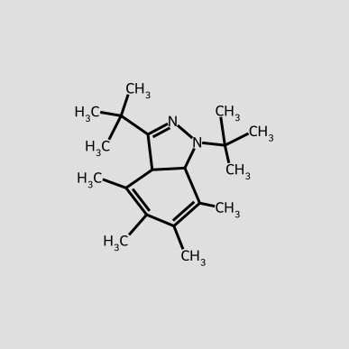 CC1=C(C)C2C(C(C)(C)C)=NN(C(C)(C)C)C2C(C)=C1C